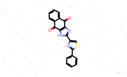 O=C1c2ccccc2C(=O)c2[nH]c(-c3csc(-c4ccccc4)n3)nc21